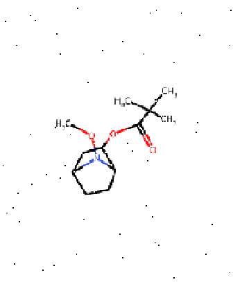 CON1C2CCC1C(OC(=O)C(C)(C)C)C2